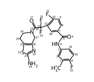 Cc1cc(NC(=O)c2ccc(F)c(C(F)(F)C(=O)N3CCc4sc(N)nc4C3)c2)ccc1F